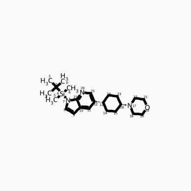 CC(C)(C)[Si](C)(C)n1ccc2cc([C@H]3CC[C@@H](N4CCOCC4)CC3)cnc21